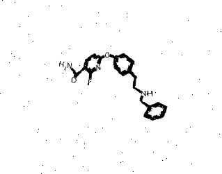 NC(=O)c1ccc(Oc2ccc(CCNCc3ccccc3)cc2)nc1F